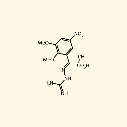 CC(=O)O.COc1cc([N+](=O)[O-])cc(C=NNC(=N)N)c1OC